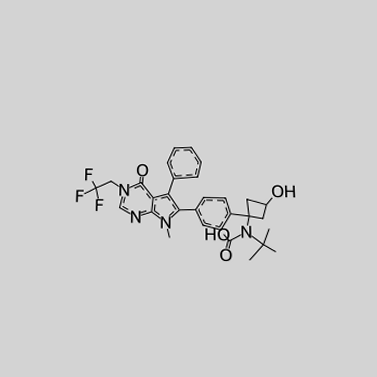 Cn1c(-c2ccc(C3(N(C(=O)O)C(C)(C)C)CC(O)C3)cc2)c(-c2ccccc2)c2c(=O)n(CC(F)(F)F)cnc21